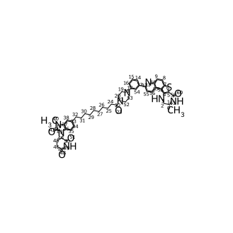 C[C@@H]1CNc2c(sc3ccc4nc(-c5cccc(N6CCN(C(=O)CCCCCCCCCc7ccc8c(c7)n(C)c(=O)n8C7CCC(=O)NC7=O)CC6)c5)ccc4c23)C(=O)N1